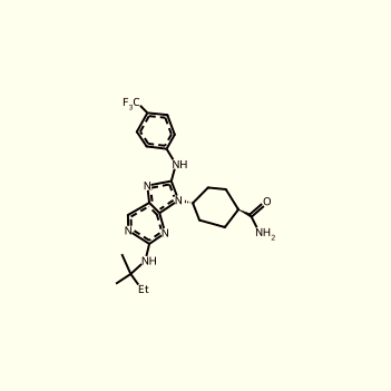 CCC(C)(C)Nc1ncc2nc(Nc3ccc(C(F)(F)F)cc3)n([C@H]3CC[C@H](C(N)=O)CC3)c2n1